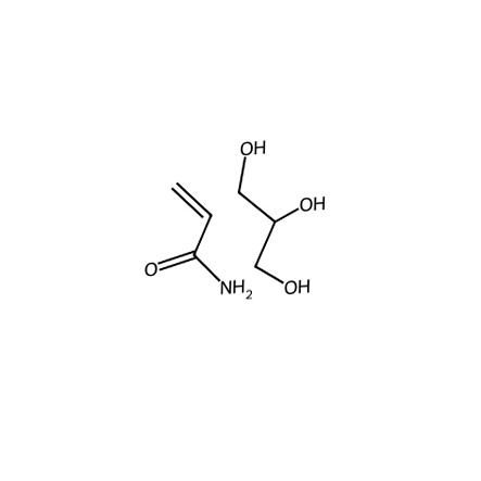 C=CC(N)=O.OCC(O)CO